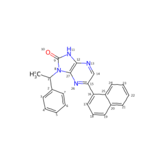 CC(c1ccccc1)n1c(=O)[nH]c2ncc(-c3cccc4ccccc34)nc21